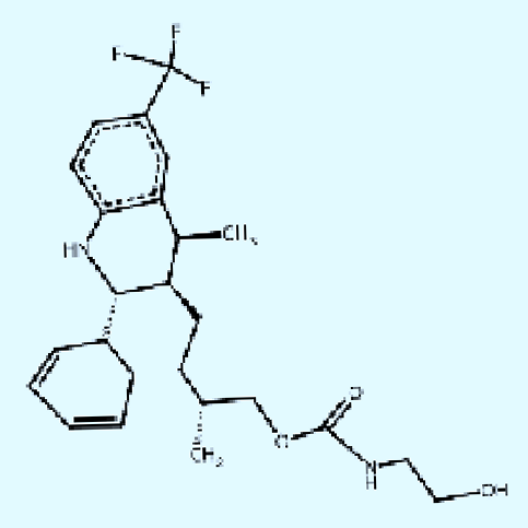 C[C@H](CC[C@@H]1[C@H](C)c2cc(C(F)(F)F)ccc2N[C@H]1C1C=CC=CC1)COC(=O)NCCO